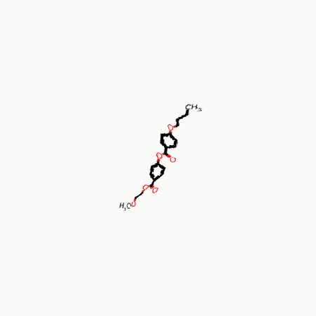 CCCCOc1ccc(C(=O)Oc2ccc(C(=O)OCCOC)cc2)cc1